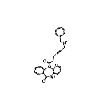 CN(CC#CCCC(=O)N1c2ccccc2C(=O)Nc2cccnc21)Cc1ccccc1